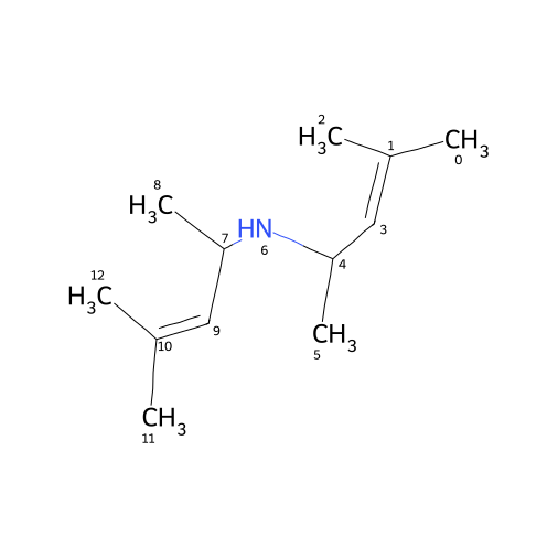 CC(C)=CC(C)NC(C)C=C(C)C